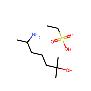 CC(N)CCCC(C)(C)O.CCS(=O)(=O)O